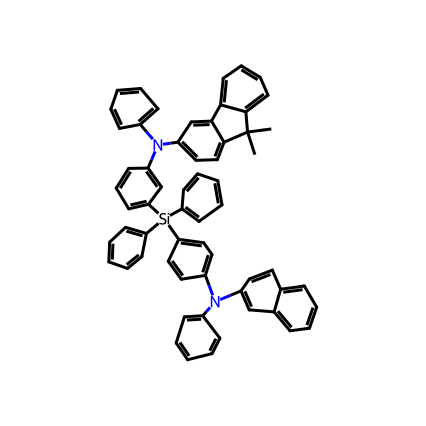 CC1(C)c2ccccc2-c2cc(N(c3ccccc3)c3cccc([Si](c4ccccc4)(c4ccccc4)c4ccc(N(c5ccccc5)c5ccc6ccccc6c5)cc4)c3)ccc21